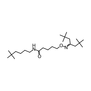 CC(C)(C)CCCCNC(=O)CCCCON=C(CC(C)(C)C)CC(C)(C)C